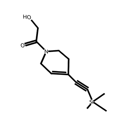 C[Si](C)(C)C#CC1=CCN(C(=O)CO)CC1